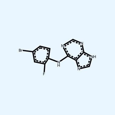 Fc1cc(Br)ccc1Nc1ncnc2[nH]cnc12